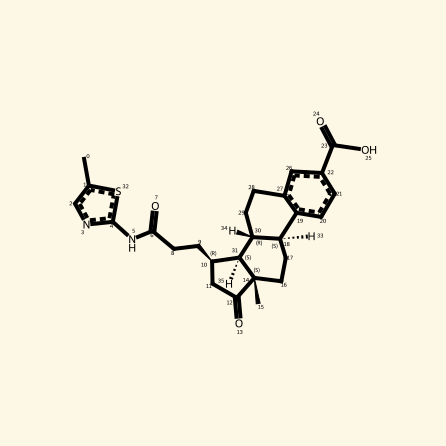 Cc1cnc(NC(=O)CC[C@@H]2CC(=O)[C@@]3(C)CC[C@@H]4c5ccc(C(=O)O)cc5CC[C@H]4[C@H]23)s1